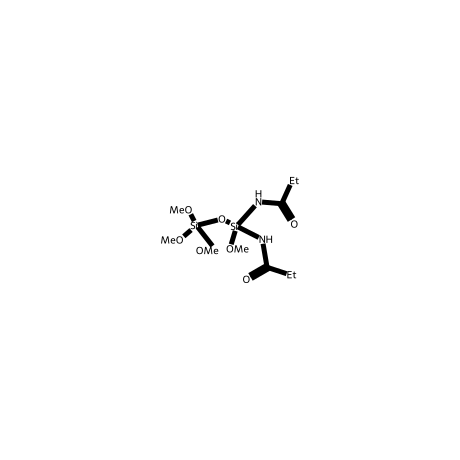 CCC(=O)N[Si](NC(=O)CC)(OC)O[Si](OC)(OC)OC